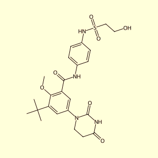 COc1c(C(=O)Nc2ccc(NS(=O)(=O)CCO)cc2)cc(N2CCC(=O)NC2=O)cc1C(C)(C)C